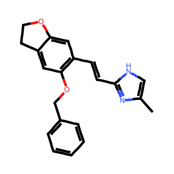 Cc1c[nH]c(C=Cc2cc3c(cc2OCc2ccccc2)CCO3)n1